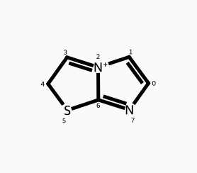 C1=C[N+]2=CCSC2=N1